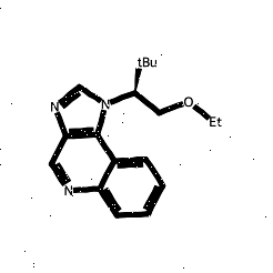 CCOC[C@@H](n1cnc2cnc3ccccc3c21)C(C)(C)C